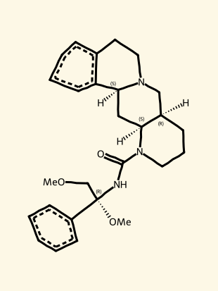 COC[C@](NC(=O)N1CCC[C@@H]2CN3CCc4ccccc4[C@@H]3C[C@@H]21)(OC)c1ccccc1